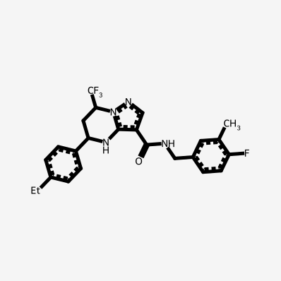 CCc1ccc(C2CC(C(F)(F)F)n3ncc(C(=O)NCc4ccc(F)c(C)c4)c3N2)cc1